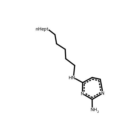 CCCCCCCCCCCCNc1ccnc(N)n1